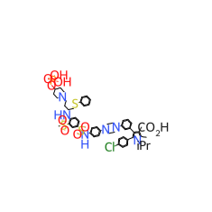 Cc1c(C(=O)O)c(-c2cccc(N3CCN(c4ccc(NS(=O)(=O)c5ccc(NC(CCN6CCC(OP(=O)(O)O)CC6)CSc6ccccc6)c(S(C)(=O)=O)c5)cc4)CC3)c2)c(-c2ccc(Cl)cc2)n1C(C)C